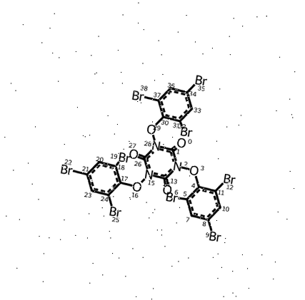 O=c1n(Oc2c(Br)cc(Br)cc2Br)c(=O)n(Oc2c(Br)cc(Br)cc2Br)c(=O)n1Oc1c(Br)cc(Br)cc1Br